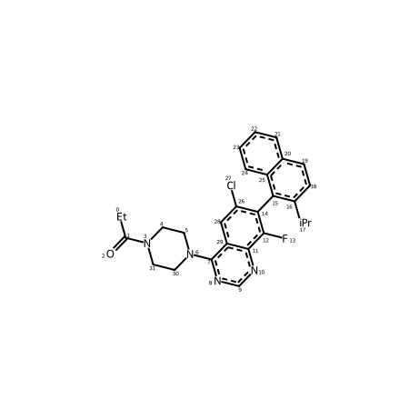 CCC(=O)N1CCN(c2ncnc3c(F)c(-c4c(C(C)C)ccc5ccccc45)c(Cl)cc23)CC1